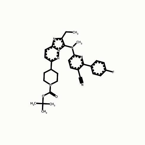 CCc1nc2ccc(C3CCN(C(=O)OC(C)(C)C)CC3)nn2c1N(C)c1ccc(C#N)c(-c2ccc(F)cc2)n1